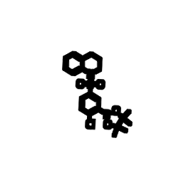 CC1(C)OB(c2cc(S(=O)(=O)N3CCCc4ccccc43)ccc2Cl)OC1(C)C